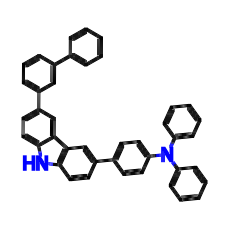 c1ccc(-c2cccc(-c3ccc4[nH]c5ccc(-c6ccc(N(c7ccccc7)c7ccccc7)cc6)cc5c4c3)c2)cc1